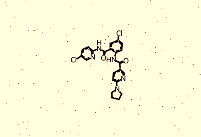 O=C(Nc1ccc(Cl)cc1C(=O)Nc1ccc(Cl)cn1)c1ccc(N2CCCC2)nc1